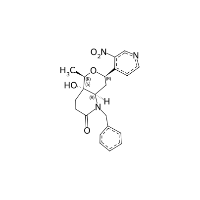 C[C@H]1O[C@@H](c2ccncc2[N+](=O)[O-])C[C@H]2N(Cc3ccccc3)C(=O)CC[C@@]12O